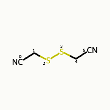 N#CCSSCC#N